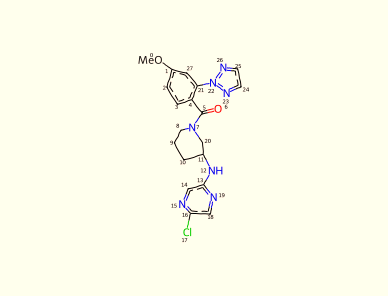 COc1ccc(C(=O)N2CCCC(Nc3cnc(Cl)cn3)C2)c(-n2nccn2)c1